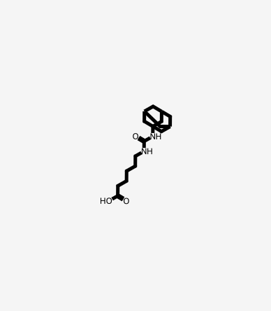 O=C(O)CCCCCNC(=O)NC12CC3CC(CC(C3)C1)C2